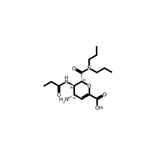 CCCN(CCC)C(=O)[C@@H]1OC(C(=O)O)=C[C@H](N)[C@H]1NC(=O)CC